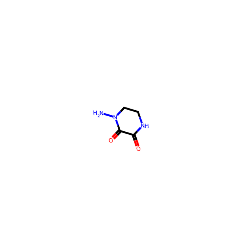 NN1CCNC(=O)C1=O